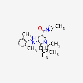 C=C1C(NCc2c(C)cccc2C)=CC(C(=O)N2CC(C)C2)=CN1C(C)=C(C)C